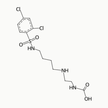 O=C(O)NCCNCCCCNS(=O)(=O)c1ccc(Cl)cc1Cl